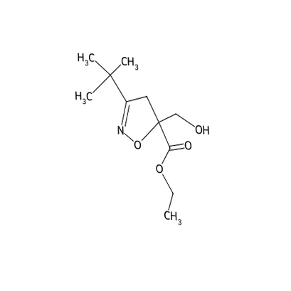 CCOC(=O)C1(CO)CC(C(C)(C)C)=NO1